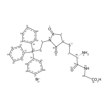 N[C@@H](CSC1CC(=O)N(CC[P+](c2ccccc2)(c2ccccc2)c2ccccc2)C1=O)C(=O)NCC(=O)O.[Br-]